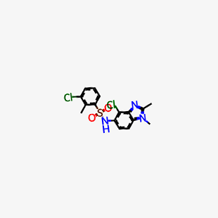 Cc1c(Cl)cccc1S(=O)(=O)Nc1ccc2c(nc(C)n2C)c1Cl